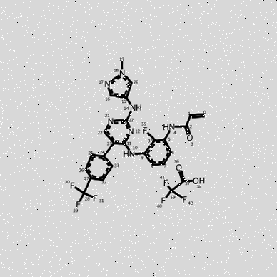 C=CC(=O)Nc1cccc(Nc2nc(Nc3cnn(C)c3)ncc2-c2ccc(C(F)(F)F)cc2)c1F.O=C(O)C(F)(F)F